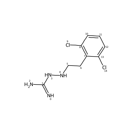 N=C(N)NNCCc1c(Cl)cccc1Cl